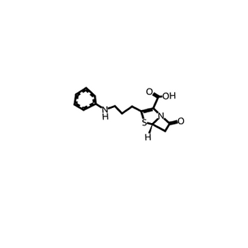 O=C(O)C1=C(CCCNc2ccccc2)S[C@H]2CC(=O)N12